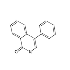 O=C1[N]C=C(c2ccccc2)c2ccccc21